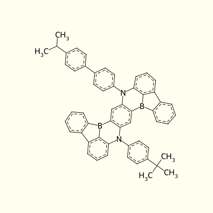 CC(C)c1ccc(-c2ccc(N3c4cc5c(cc4B4c6ccccc6-c6cccc3c64)N(c3ccc(C(C)(C)C)cc3)c3cccc4c3B5c3ccccc3-4)cc2)cc1